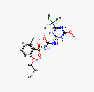 COc1nc(NC(=O)NS(=O)(=O)c2c(C)cccc2OCCF)nc(C(F)(F)F)n1